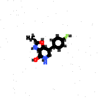 Cc1nc2c(=O)[nH]cc(-c3ccc(F)cc3)c2o1